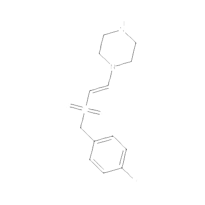 O=S(=O)(C=CN1CCNCC1)Cc1ccc(Br)cc1